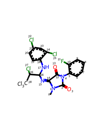 CN1C(=O)N(c2ccccc2F)C(=O)C1=NC(Nc1ccc(Cl)cc1Cl)C(Cl)C(Cl)(Cl)Cl